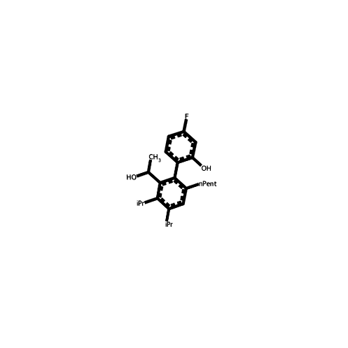 CCCCCc1cc(C(C)C)c(C(C)C)c(C(C)O)c1-c1ccc(F)cc1O